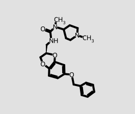 CN1CCC(N(C)C(=O)NC[C@@H]2COc3ccc(OCc4ccccc4)cc3O2)CC1